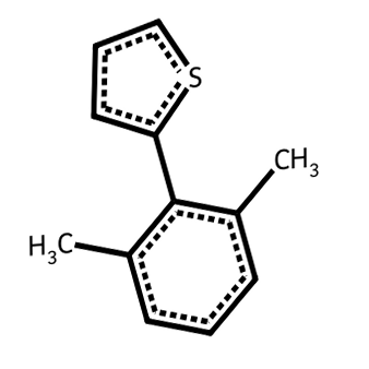 Cc1cccc(C)c1-c1cccs1